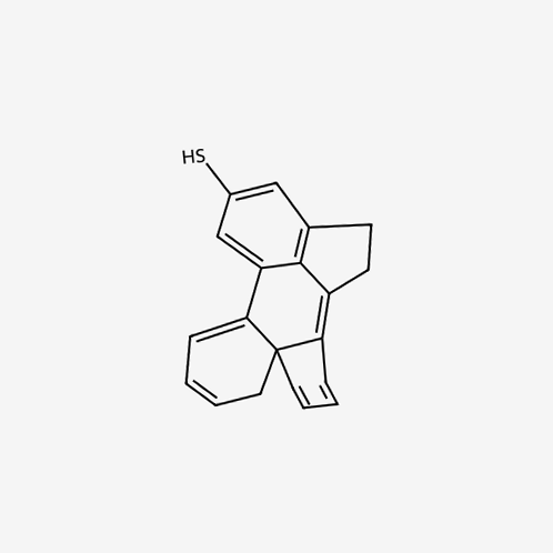 Sc1cc2c3c(c1)C1=CC=CCC14C=CC=CC4=C3CC2